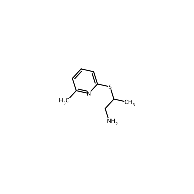 Cc1cccc(SC(C)CN)n1